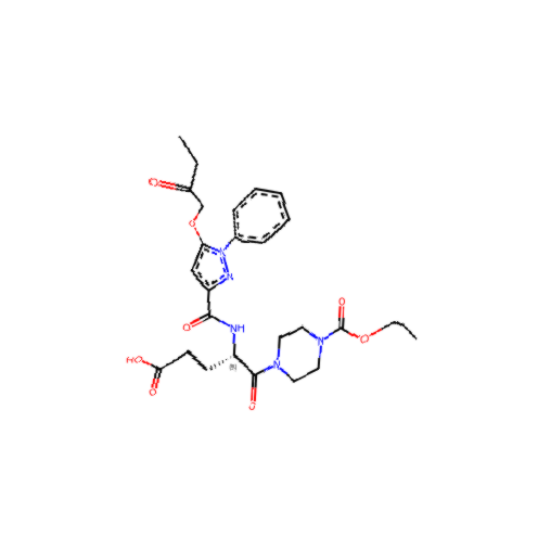 CCOC(=O)N1CCN(C(=O)[C@H](CCC(=O)O)NC(=O)c2cc(OCC(=O)CC)n(-c3ccccc3)n2)CC1